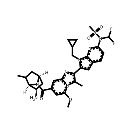 COc1cc(C(=O)N2[C@H]3CC(C)[C@@H]2[C@H](N)C3)cc2nc(-c3cc4ccc(N(C(F)F)S(C)(=O)=O)nc4n3CC3CC3)c(C)n12